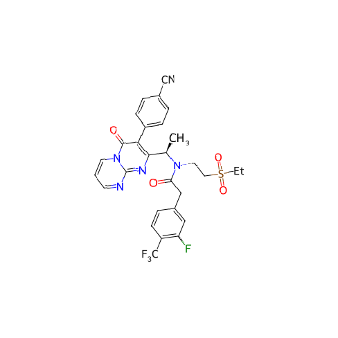 CCS(=O)(=O)CCN(C(=O)Cc1ccc(C(F)(F)F)c(F)c1)[C@H](C)c1nc2ncccn2c(=O)c1-c1ccc(C#N)cc1